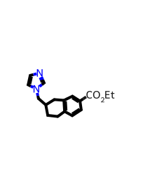 CCOC(=O)c1ccc2c(c1)CC(Cn1ccnc1)CC2